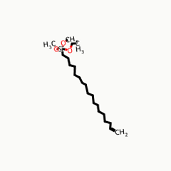 C=CCCCCCCCCCCCCCCCC[Si](OC)(OC)OCC